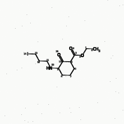 CCOC(=O)C1CCCC(NCCCI)C1=O